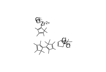 CC1=C(C)C(C)(C)C(C2=C(C)C(C)=C(C)C2(C)C)=C1C.CC1=C(C)C(C)(C)[C]([Zr+2])=C1C.[CH3][Zr]([CH3])([CH3])([Cl])([Cl])[C]1=CC=CC1.[Cl-].[Cl-]